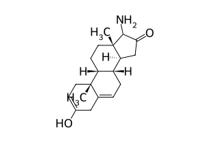 C[C@]12CC=C(O)CC1=CC[C@@H]1[C@H]2CC[C@]2(C)C(N)C(=O)C[C@@H]12